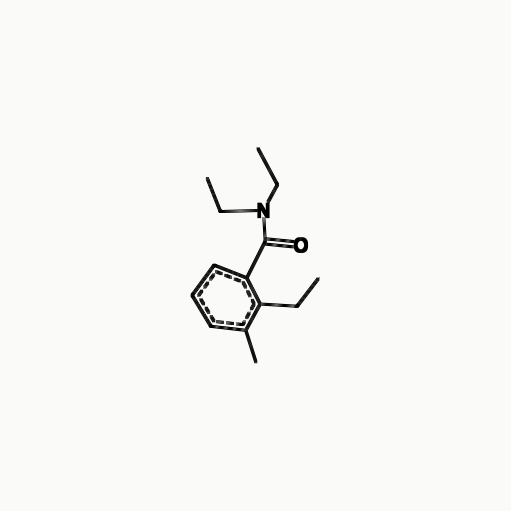 CCc1c(C)cccc1C(=O)N(CC)CC